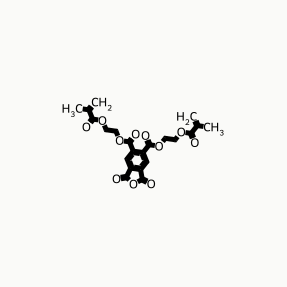 C=C(C)C(=O)OCCOC(=O)c1cc2c(cc1C(=O)OCCOC(=O)C(=C)C)C(=O)OC2=O